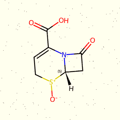 O=C(O)C1=CC[S+]([O-])[C@H]2CC(=O)N12